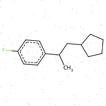 CC(CC1CCCC1)c1ccc(F)cc1